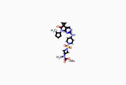 CC1CCCC1N1C(=O)C2(CC2)c2cnc(NC3CCN(S(=O)(=O)N4CC(N(C)C(=O)OC(C)(C)C)C4)CC3)nc21